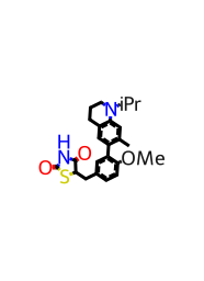 COc1ccc(CC2SC(=O)NC2=O)cc1-c1cc2c(cc1C)N(C(C)C)CCC2